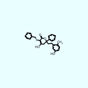 Cc1ccc(O)cc1CCC1(c2ccccc2)CC(O)=C(SCc2ccccc2)C(=O)O1